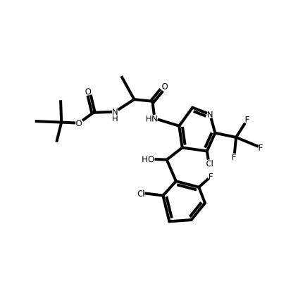 CC(NC(=O)OC(C)(C)C)C(=O)Nc1cnc(C(F)(F)F)c(Cl)c1C(O)c1c(F)cccc1Cl